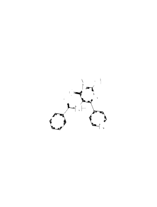 Cn1c(Cl)nc(-c2ccncc2)c(NC(=O)c2ccccc2)c1=O